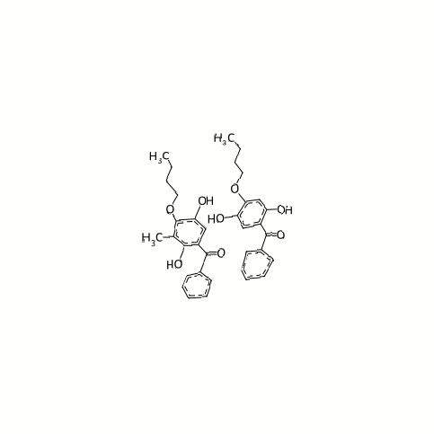 CCCCOc1c(O)cc(C(=O)c2ccccc2)c(O)c1C.CCCCOc1cc(O)c(C(=O)c2ccccc2)cc1O